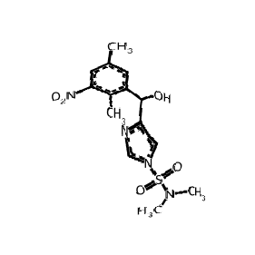 Cc1cc(C(O)c2cn(S(=O)(=O)N(C)C)cn2)c(C)c([N+](=O)[O-])c1